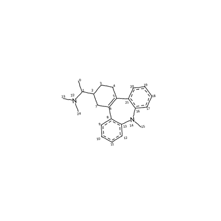 CC(C1CCC2=C(C1)c1ccccc1N(C)c1ccccc12)N(C)C